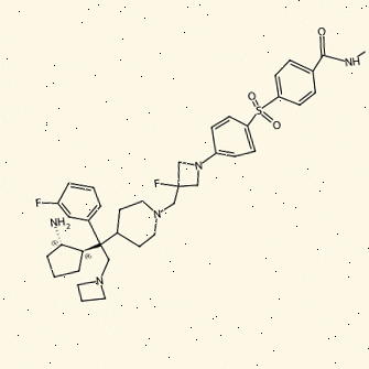 CNC(=O)c1ccc(S(=O)(=O)c2ccc(N3CC(F)(CN4CCC(C(CN5CCC5)(c5cccc(F)c5)[C@H]5CCC[C@@H]5N)CC4)C3)cc2)cc1